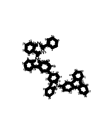 c1ccc(-c2nc(-n3c4ccccc4c4cc(-c5ccc6c(c5)c5ccccc5n6-c5ccc6c7ccccc7c7ccccc7c6c5)ccc43)c3ccccc3n2)cc1